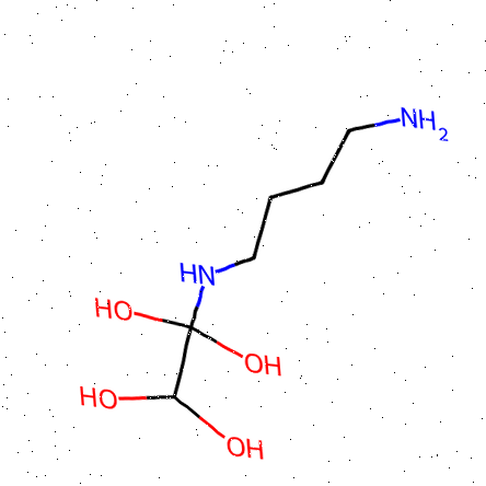 NCCCCNC(O)(O)C(O)O